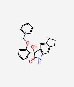 O=C1Nc2cc3c(cc2C1(O)c1ccccc1OCc1ccccc1)CCC3